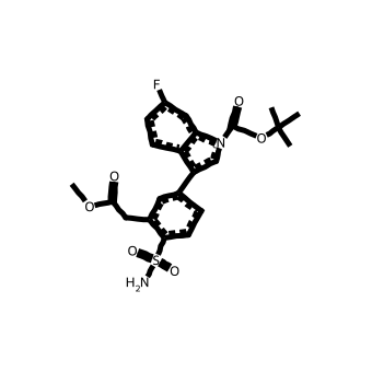 COC(=O)Cc1cc(-c2cn(C(=O)OC(C)(C)C)c3cc(F)ccc23)ccc1S(N)(=O)=O